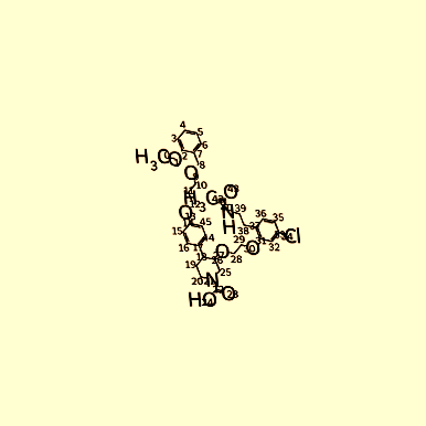 COc1ccccc1COCCCOc1ccc(C2CCN(C(=O)O)CC2OCCOc2cc(Cl)ccc2CCNC(C)=O)cc1